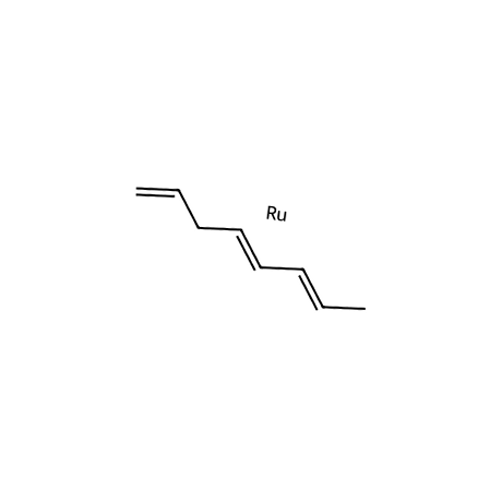 C=CCC=CC=CC.[Ru]